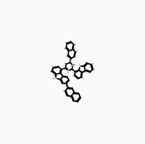 c1ccc2cc(-c3ccc4c(c3)oc3cccc(C5=NC(c6cccc7c6sc6ccccc67)NC(c6ccc7ccccc7c6)C5)c34)ccc2c1